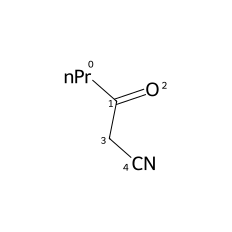 CCCC(=O)CC#N